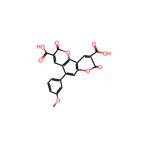 COc1cccc(-c2cc3oc(=O)c(C(=O)O)cc3c3oc(=O)c(C(=O)O)cc23)c1